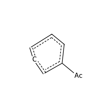 C[13C](=O)c1ccccc1